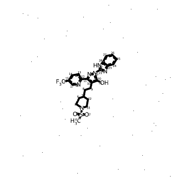 CS(=O)(=O)N1CCC(CCc2c(-c3ccc(C(F)(F)F)cn3)nn(-c3nc4ccccc4[nH]3)c2O)CC1